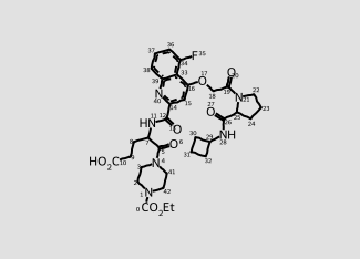 CCOC(=O)N1CCN(C(=O)C(CCC(=O)O)NC(=O)c2cc(OCC(=O)N3CCCC3C(=O)NC3CCC3)c3c(F)cccc3n2)CC1